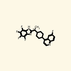 C[C@H](c1nc2c(F)c(F)c(F)c(F)c2[nH]1)C1CCC(c2ccnc3ccc(F)cc23)CC1